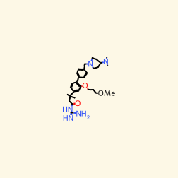 COCCCOc1cc(C(C)(C)CC(=O)NC(=N)N)ccc1-c1ccc(CN2CCC(N(C)C)CC2)cc1